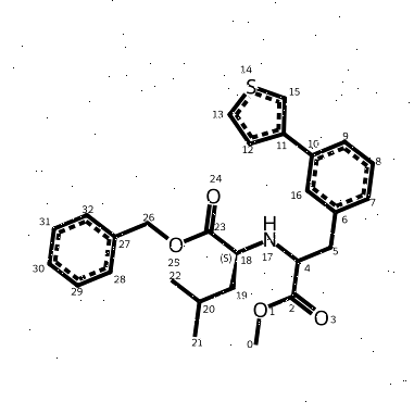 COC(=O)C(Cc1cccc(-c2ccsc2)c1)N[C@@H](CC(C)C)C(=O)OCc1ccccc1